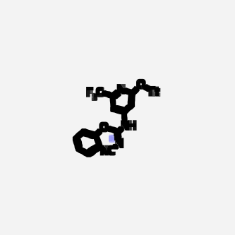 CCOc1cc(N/C(=N/C#N)Oc2ccccc2)cc(C(F)(F)F)n1